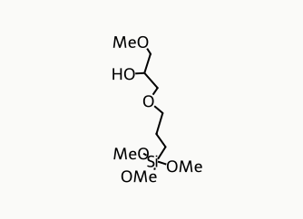 COCC(O)COCCC[Si](OC)(OC)OC